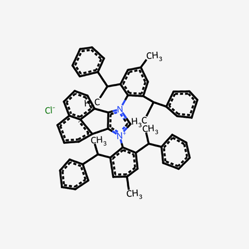 Cc1cc(C(C)c2ccccc2)c(-n2c[n+](-c3c(C(C)c4ccccc4)cc(C)cc3C(C)c3ccccc3)c3c2-c2cccc4cccc-3c24)c(C(C)c2ccccc2)c1.[Cl-]